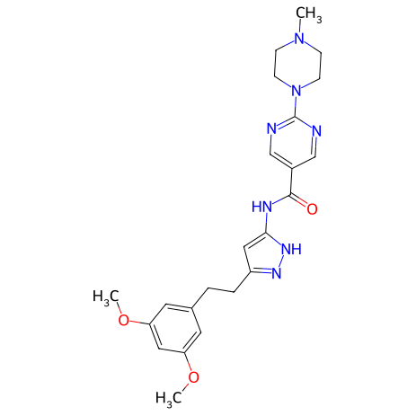 COc1cc(CCc2cc(NC(=O)c3cnc(N4CCN(C)CC4)nc3)[nH]n2)cc(OC)c1